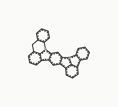 c1ccc2c(c1)Cc1cccc3c4cc5c6cccc7c8ccccc8n(c5cc4n-2c13)c76